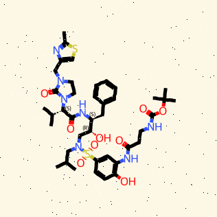 Cc1nc(CN2CCN([C@H](C(=O)N[C@@H](Cc3ccccc3)[C@H](O)CN(CC(C)C)S(=O)(=O)c3ccc(O)c(NC(=O)CCNC(=O)OC(C)(C)C)c3)C(C)C)C2=O)cs1